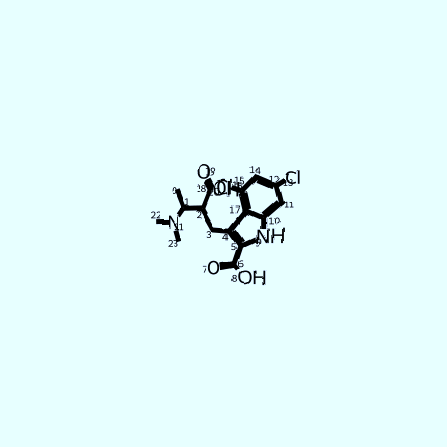 CC(C(Cc1c(C(=O)O)[nH]c2cc(Cl)cc(Cl)c12)C(=O)O)N(C)C